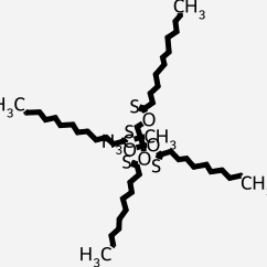 CCCCCCCCCCCCC(=S)OCC(C)(C)C(OC(=S)CCCCCCCCCC)(OC(=S)CCCCCCCCCC)OC(=S)CCCCCCCCCCCC